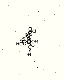 CN(C)CCCOC(=O)c1ccc(NS(=O)(=O)c2cc(Cl)c(Cl)s2)cc1O.O=C(O)C(F)(F)F